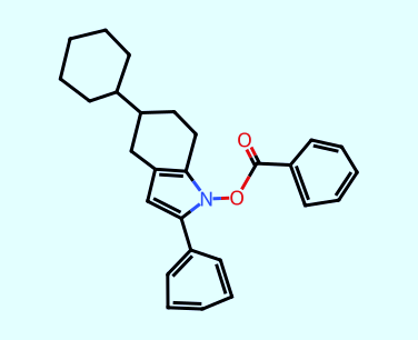 O=C(On1c(-c2ccccc2)cc2c1CCC(C1CCCCC1)C2)c1ccccc1